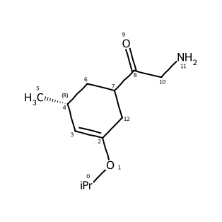 CC(C)OC1=C[C@H](C)CC(C(=O)CN)C1